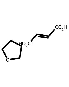 C1CCOC1.O=C(O)/C=C/C(=O)O